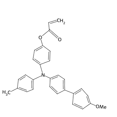 C=CC(=O)Oc1ccc(N(c2ccc(C)cc2)c2ccc(-c3ccc(OC)cc3)cc2)cc1